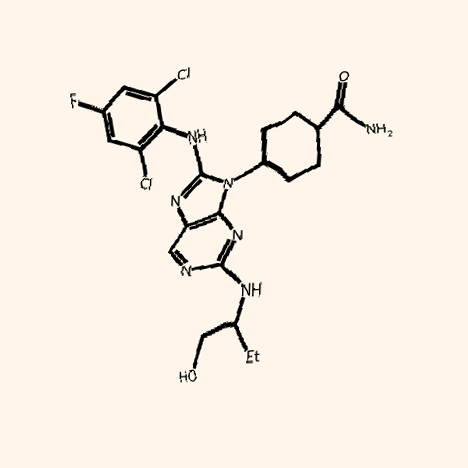 CCC(CO)Nc1ncc2nc(Nc3c(Cl)cc(F)cc3Cl)n(C3CCC(C(N)=O)CC3)c2n1